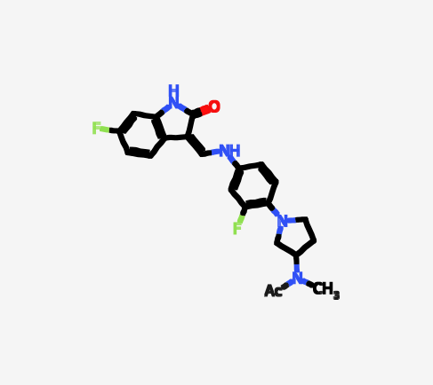 CC(=O)N(C)C1CCN(c2ccc(NC=C3C(=O)Nc4cc(F)ccc43)cc2F)C1